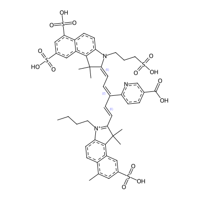 CCCC[N+]1=C(/C=C/C(=C/C=C2/N(CCCS(=O)(=O)O)c3ccc4c(S(=O)(=O)O)cc(S(=O)(=O)O)cc4c3C2(C)C)c2ccc(C(=O)O)cn2)C(C)(C)c2c1ccc1c(C)cc(S(=O)(=O)O)cc21